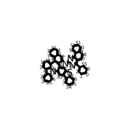 c1ccc(-c2nc(-n3c4cc5ccccc5c5c6cccc7c8ccccc8n(c8cc9c%10ccccc%10sc9c3c8c54)c76)nc3c2ccc2ccccc23)cc1